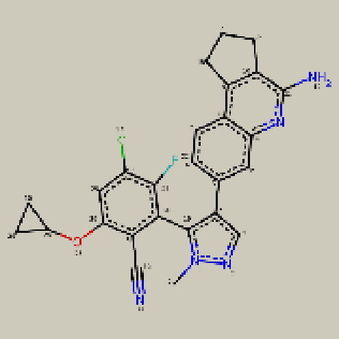 Cn1ncc(-c2ccc3c4c(c(N)nc3c2)CCC4)c1-c1c(F)c(Cl)cc(OC2CC2)c1C#N